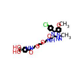 COc1ccc2c(c1)C(c1ccc(Cl)cc1)=N[C@@H](CC(=O)NCCOCCOCCNC(=O)c1ccc(B(O)O)cc1)c1nnc(C)n1-2